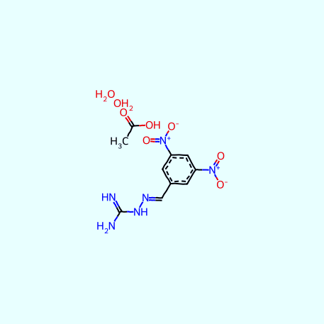 CC(=O)O.N=C(N)NN=Cc1cc([N+](=O)[O-])cc([N+](=O)[O-])c1.O.O